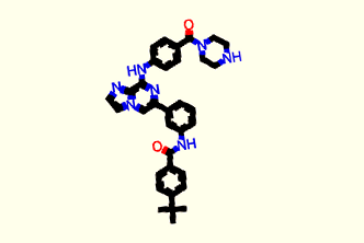 CC(C)(C)c1ccc(C(=O)Nc2cccc(-c3cn4ccnc4c(Nc4ccc(C(=O)N5CCNCC5)cc4)n3)c2)cc1